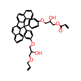 C=CCOCC(O)COc1ccc(C2(c3ccc(OCC(O)COC(=O)C=C)cc3)c3c(ccc4ccccc34)-c3ccc4ccccc4c32)cc1